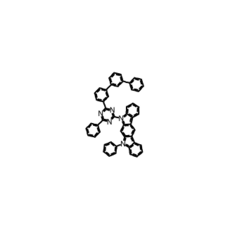 c1ccc(-c2cccc(-c3cccc(-c4nc(-c5ccccc5)nc(-n5c6ccccc6c6cc7c8ccccc8n(-c8ccccc8)c7cc65)n4)c3)c2)cc1